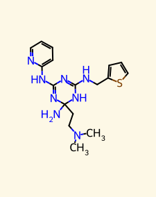 CN(C)CCC1(N)N=C(Nc2ccccn2)N=C(NCc2cccs2)N1